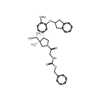 COc1ccc([C@@H]2CN(C(=O)CNC(=O)OCc3ccccc3)C[C@@]2(C)[C@@H](C)O)cc1OC1Cc2ccccc2C1